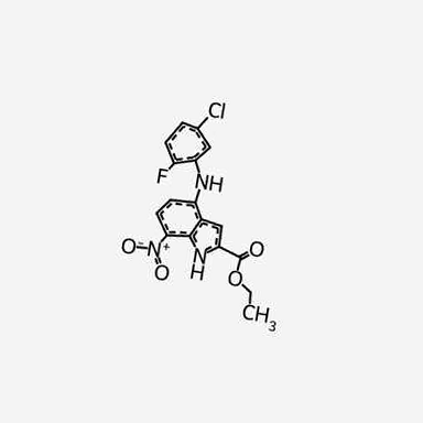 CCOC(=O)c1cc2c(Nc3cc(Cl)ccc3F)ccc([N+](=O)[O-])c2[nH]1